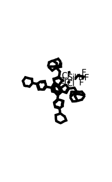 C[SiH](CCC(F)(F)F)[Zr]([Cl])([Cl])([CH]1C(CC23CC4CC(CC(C4)C2)C3)=Cc2c(-c3ccc(C4CCCCC4)cc3)cccc21)[CH]1C(CC23CC4CC(CC(C4)C2)C3)=Cc2c(-c3ccc(C4CCCCC4)cc3)cccc21